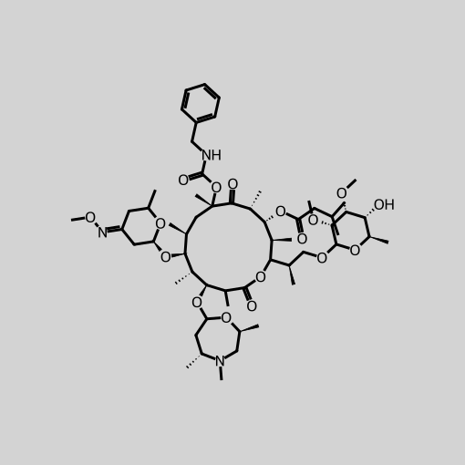 CON=C1CC(C)O[C@@H](O[C@@H]2[C@@H](C)[C@H](OC3C[C@@H](C)N(C)C[C@H](C)O3)C(C)C(=O)OC([C@H](C)COC3O[C@H](C)[C@@H](O)[C@@H](OC)[C@H]3OC)[C@H](C)[C@@H](OC(=O)CC(C)C)[C@@H](C)C(=O)[C@@](C)(OC(=O)NCc3ccccc3)C[C@@H]2C)C1